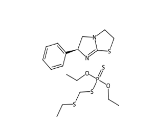 CCOP(=S)(OCC)SCSCC.c1ccc([C@H]2CN3CCSC3=N2)cc1